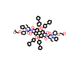 CCCCC(C(=O)N(Cc1ccccc1)C1CCCC(OCC2CO2)C1)N1C(=O)c2cc(Oc3ccc(-c4ccccc4)cc3)c3c4c(Oc5ccc(-c6ccccc6)cc5)cc5c6c(cc(Oc7ccc(-c8ccccc8)cc7)c(c7c(Oc8ccc(-c9ccccc9)cc8)cc(c2c37)C1=O)c64)C(=O)N(C(CCCC)C(=O)N(Cc1ccccc1)C1CCCC(OCC2CO2)C1)C5=O